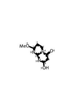 COc1ccn2c(=O)cc(O)nc2n1